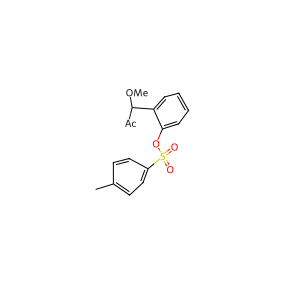 COC(C(C)=O)c1ccccc1OS(=O)(=O)c1ccc(C)cc1